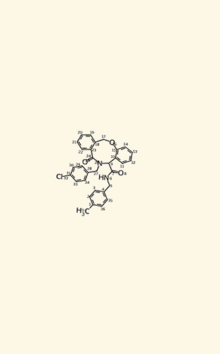 Cc1ccc(CNC(=O)C2c3ccccc3OCc3ccccc3C(=O)N2Cc2ccc(Cl)cc2)cc1